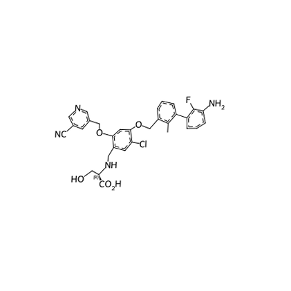 Cc1c(COc2cc(OCc3cncc(C#N)c3)c(CN[C@H](CO)C(=O)O)cc2Cl)cccc1-c1cccc(N)c1F